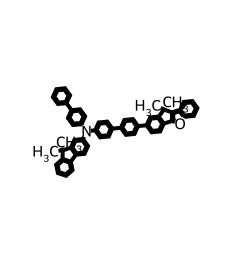 CC1(C)c2ccccc2-c2ccc(N(c3ccc(-c4ccccc4)cc3)c3ccc(-c4ccc(-c5ccc6c(c5)C(C)(C)c5c-6oc6ccccc56)cc4)cc3)cc21